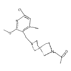 COc1nc(Cl)cc(C)c1CN1CC2(C1)CN(C(C)=O)C2